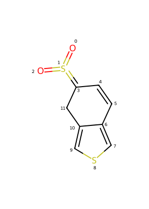 O=S(=O)=C1C=Cc2cscc2C1